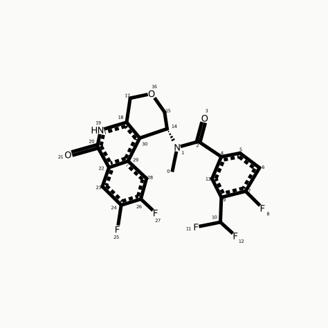 CN(C(=O)c1ccc(F)c(C(F)F)c1)[C@H]1COCc2[nH]c(=O)c3cc(F)c(F)cc3c21